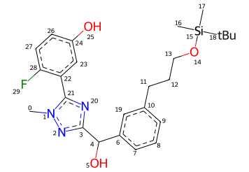 Cn1nc(C(O)c2cccc(CCCO[Si](C)(C)C(C)(C)C)c2)nc1-c1cc(O)ccc1F